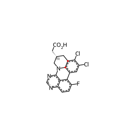 O=C(O)C[C@@H]1CCCN(c2ncnc3ccc(F)c(-c4ccc(Cl)c(Cl)c4)c23)C1